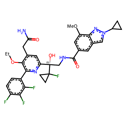 CCOc1c(CC(N)=O)cc([C@@](O)(CNC(=O)c2cc(OC)c3nn(C4CC4)cc3c2)C2(F)CC2)nc1-c1ccc(F)c(F)c1F